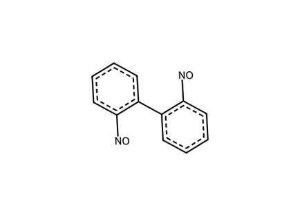 O=Nc1ccccc1-c1ccccc1N=O